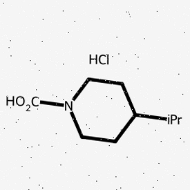 CC(C)C1CCN(C(=O)O)CC1.Cl